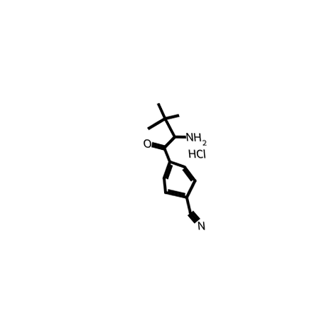 CC(C)(C)C(N)C(=O)c1ccc(C#N)cc1.Cl